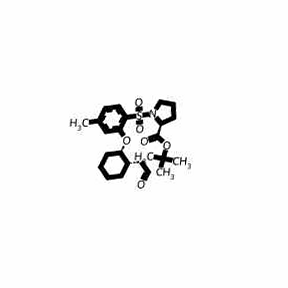 Cc1ccc(S(=O)(=O)N2CCC[C@H]2C(=O)OC(C)(C)C)c(O[C@H]2CCCC[C@H]2CC=O)c1